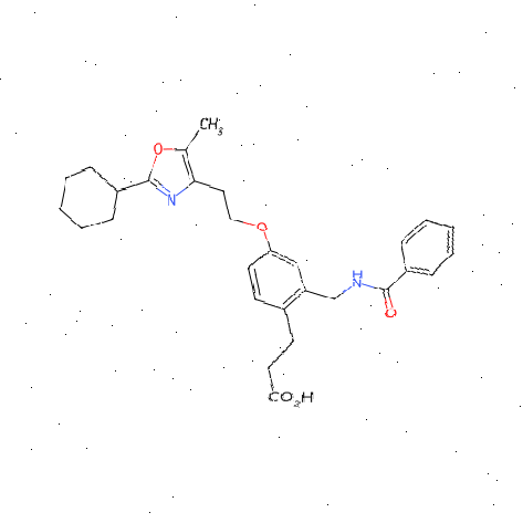 Cc1oc(C2CCCCC2)nc1CCOc1ccc(CCC(=O)O)c(CNC(=O)c2ccccc2)c1